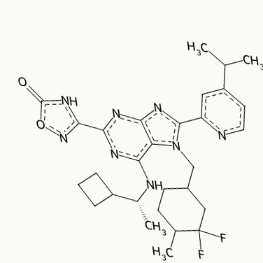 CC(C)c1ccnc(-c2nc3nc(-c4noc(=O)[nH]4)nc(N[C@H](C)C4CCC4)c3n2CC2CCC(C)C(F)(F)C2)c1